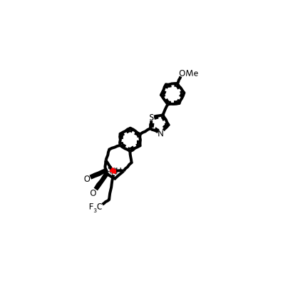 COc1ccc(-c2cnc(-c3ccc4c(c3)CC3CCC(C4)C34CN(CC(F)(F)F)S(=O)(=O)N4)s2)cc1